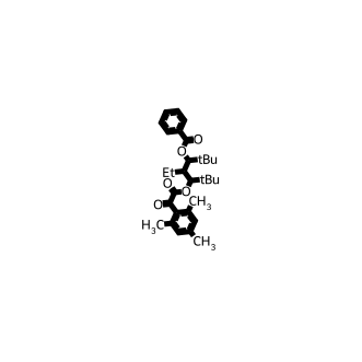 CCC(C(OC(=O)C(=O)c1c(C)cc(C)cc1C)C(C)(C)C)C(OC(=O)c1ccccc1)C(C)(C)C